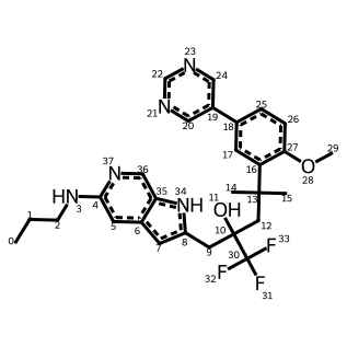 CCCNc1cc2cc(CC(O)(CC(C)(C)c3cc(-c4cncnc4)ccc3OC)C(F)(F)F)[nH]c2cn1